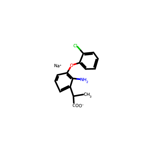 CC(C(=O)[O-])c1cccc(Oc2ccccc2Cl)c1N.[Na+]